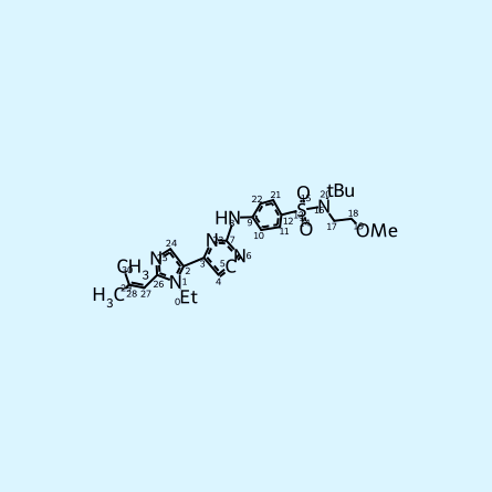 CCn1c(-c2ccnc(Nc3ccc(S(=O)(=O)N(CCOC)C(C)(C)C)cc3)n2)cnc1C=C(C)C